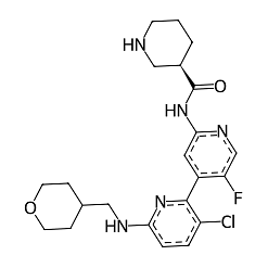 O=C(Nc1cc(-c2nc(NCC3CCOCC3)ccc2Cl)c(F)cn1)[C@@H]1CCCNC1